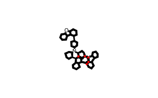 c1ccc(N(c2ccc(-c3cccc4oc5ccccc5c34)cc2)c2ccc(-n3c4ccccc4c4ccccc43)cc2)c(-c2cc3ccccc3c3ccccc23)c1